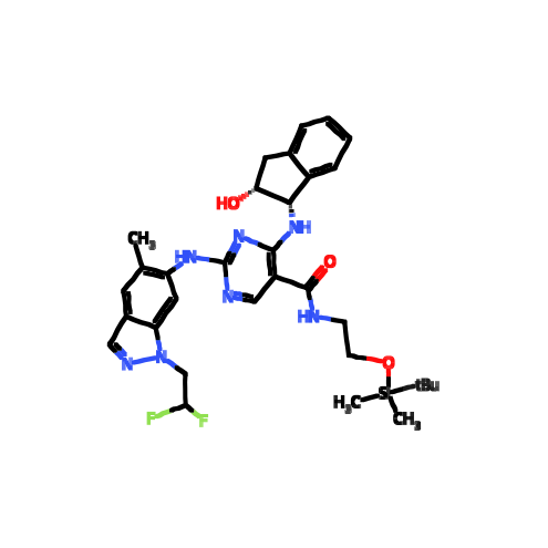 Cc1cc2cnn(CC(F)F)c2cc1Nc1ncc(C(=O)NCCO[Si](C)(C)C(C)(C)C)c(N[C@H]2c3ccccc3C[C@H]2O)n1